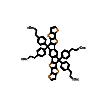 CCCCCCCCCCCCc1ccc(C2(c3ccc(CCCCCCCCCCCC)cc3)c3cc4c(cc3-c3sc5c(sc6ccsc65)c32)C(c2ccc(CCCCCCCCCCCC)cc2)(c2ccc(CCCCCCCCCCCC)cc2)c2c-4sc3c2sc2ccsc23)cc1